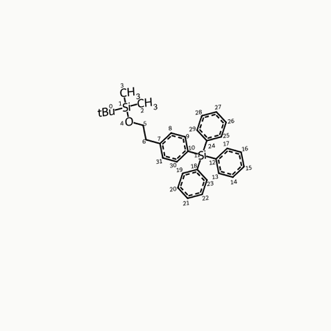 CC(C)(C)[Si](C)(C)OCCc1ccc([Si](c2ccccc2)(c2ccccc2)c2ccccc2)cc1